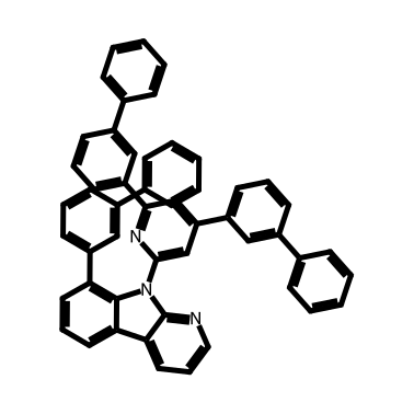 c1ccc(-c2cccc(-c3cc(-c4cccc(-c5ccccc5)c4)nc(-n4c5ncccc5c5cccc(-c6cccc(-c7ccccc7)c6)c54)c3)c2)cc1